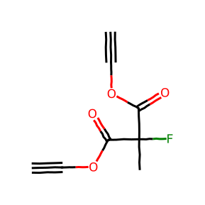 C#COC(=O)C(C)(F)C(=O)OC#C